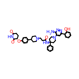 Nc1nnc(-c2ccccc2O)cc1N1CCC(NC(=O)CCN2CCC(c3ccc(O[C@H]4CCC(=O)NC4=O)cc3)CC2)(c2ccccc2)CC1